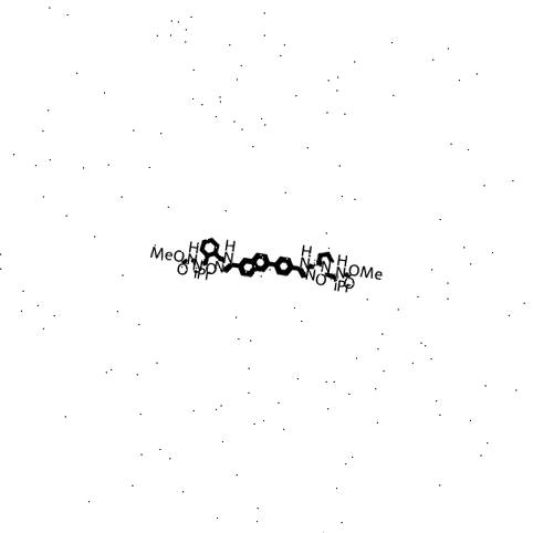 COC(=O)N[C@H](C(=O)N1CCC[C@H]1c1ncc(-c2ccc(-c3ccc4cc(-c5cnc(C6CCCCC6C(=O)N(NC(=O)OC)C(C)C)[nH]5)ccc4c3)cc2)[nH]1)C(C)C